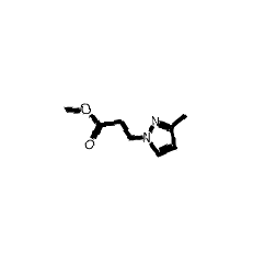 COC(=O)CCn1ccc(C)n1